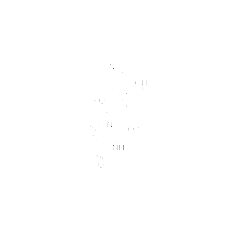 NCC1OC(n2ccc(=O)[nH]c2=O)CC1O